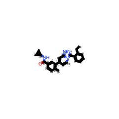 CCc1ccccc1-c1nnc2cc(-c3cc(C(=O)NC4CC4)ccc3C)ccn12